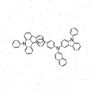 c1ccc(N2c3ccccc3C3(c4ccccc4)c4cc(-c5ccc(N(c6ccc7ccccc7c6)c6ccc7c(c6)c6ccccc6n7-c6ccccc6)cc5)ccc4-c4cccc2c43)cc1